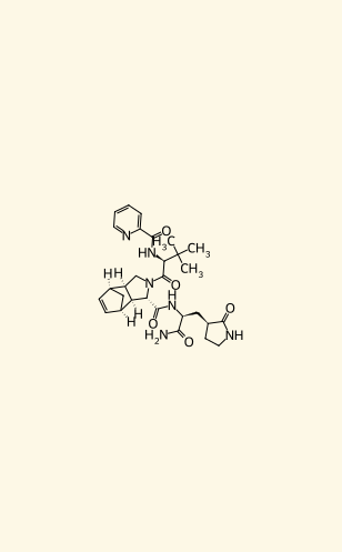 CC(C)(C)[C@H](NC(=O)c1ccccn1)C(=O)N1C[C@H]2[C@@H]([C@H]1C(=O)N[C@@H](C[C@@H]1CCNC1=O)C(N)=O)[C@H]1C=C[C@@H]2C1